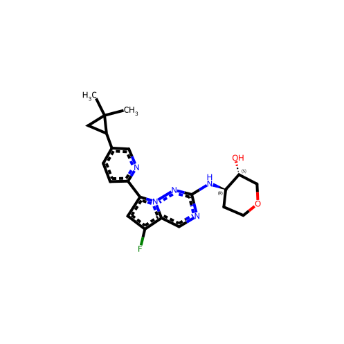 CC1(C)CC1c1ccc(-c2cc(F)c3cnc(N[C@@H]4CCOC[C@H]4O)nn23)nc1